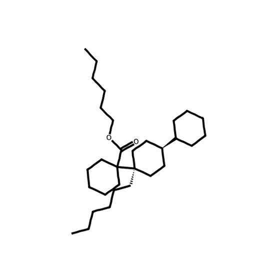 CCCCCCOC(=O)C1([C@]2(CCCCCC)CC[C@H](C3CCCCC3)CC2)CCCCC1